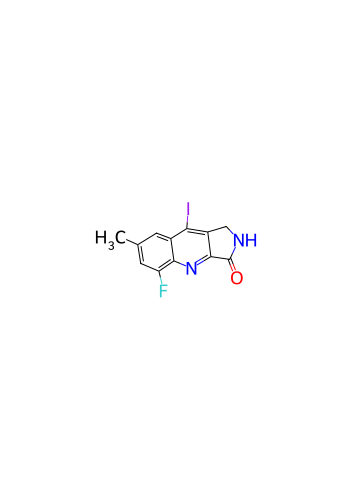 Cc1cc(F)c2nc3c(c(I)c2c1)CNC3=O